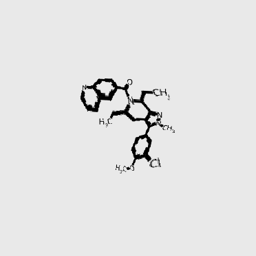 CCC1Cc2c(nn(C)c2-c2ccc(OC)c(Cl)c2)C(CC)N1C(=O)c1ccc2ncccc2c1